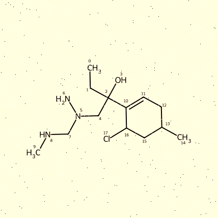 CCC(O)(CN(N)CNC)C1=CCC(C)CC1Cl